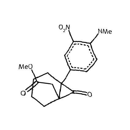 CNc1ccc(C23CCCCC2(CC(=O)OC)C3=O)cc1[N+](=O)[O-]